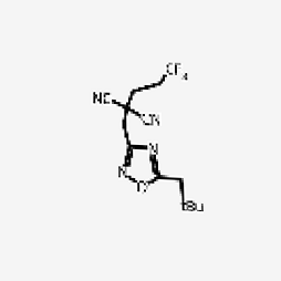 CC(C)(C)Cc1nc(CC(C#N)(C#N)CCC(F)(F)F)no1